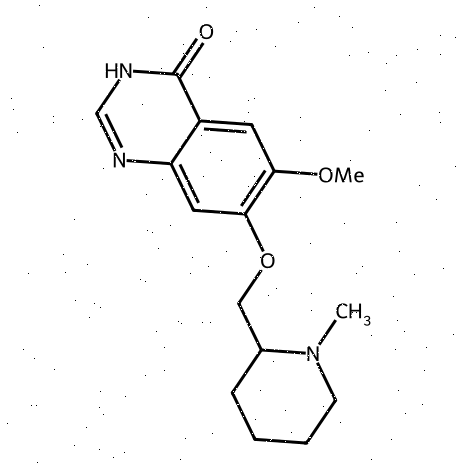 COc1cc2c(=O)[nH]cnc2cc1OCC1CCCCN1C